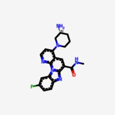 CNC(=O)c1cc2c(N3CCC[C@@H](N)C3)ccnc2n2c1nc1ccc(F)cc12